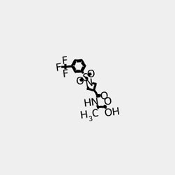 CC(NC(=O)C1CN(S(=O)(=O)c2cccc(C(F)(F)F)c2)C1)C(=O)O